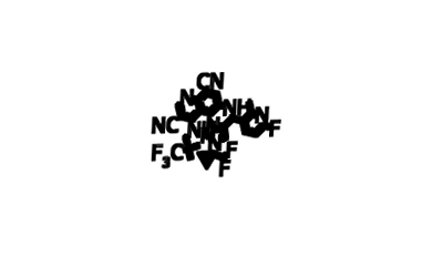 Cc1nc(F)ccc1[C@H](Nc1cc(C#N)c2ncc(C#N)c(NCC(C)(C)C(F)(F)F)c2c1)c1cn(C2(C(F)F)CC2)nn1